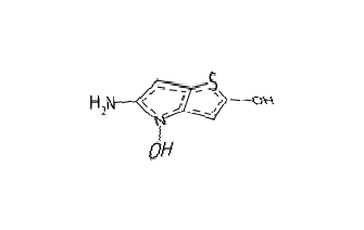 Nc1cc2sc(O)cc2n1O